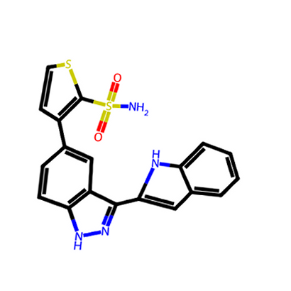 NS(=O)(=O)c1sccc1-c1ccc2[nH]nc(-c3cc4ccccc4[nH]3)c2c1